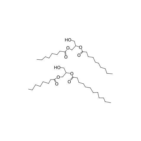 CCCCCCCCCC(=O)OC(CO)COC(=O)CCCCCCC.CCCCCCCCCCCC(=O)OC(CO)COC(=O)CCCCCCC